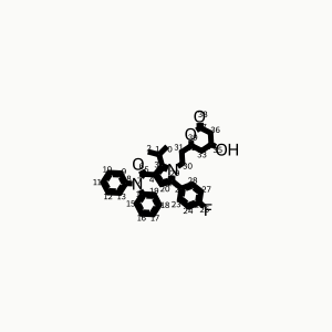 CC(C)c1c(C(=O)N(c2ccccc2)c2ccccc2)cc(-c2ccc(F)cc2)n1CCC1CC(O)CC(=O)O1